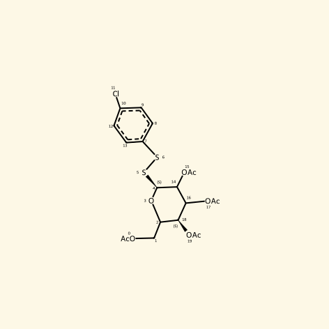 CC(=O)OCC1O[C@@H](SSc2ccc(Cl)cc2)C(OC(C)=O)C(OC(C)=O)[C@H]1OC(C)=O